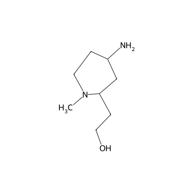 CN1CCC(N)CC1CCO